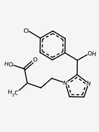 CC(CCn1ccnc1C(O)c1ccc(Cl)cc1)C(=O)O